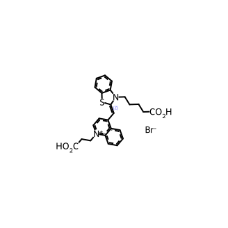 O=C(O)CCCCN1/C(=C/c2cc[n+](CCC(=O)O)c3ccccc23)Sc2ccccc21.[Br-]